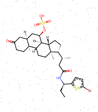 CC[C@@H](NC(=O)C[C@@H](C)[C@H]1CC[C@H]2[C@@H]3[C@H](OS(=O)(=O)O)C[C@@H]4CC(=O)CC[C@]4(C)[C@H]3CC[C@]12C)c1ccc(Br)s1